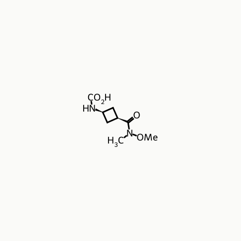 CON(C)C(=O)[C@H]1C[C@@H](NC(=O)O)C1